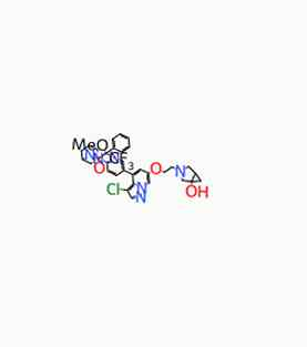 COC(C(=O)N1C2CC1CN(c1ccc(-c3cc(OCCN4CC5CC5(O)C4)cn4ncc(Cl)c34)cn1)C2)(c1ccccc1)C(F)(F)F